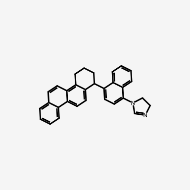 C1=NCCN1c1ccc(C2CCCc3c2ccc2c3ccc3ccccc32)c2ccccc12